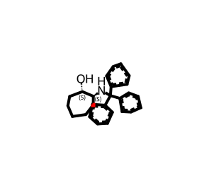 O[C@H]1CCCCC[C@@H]1NC(c1ccccc1)(c1ccccc1)c1ccccc1